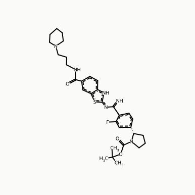 CC(C)(C)OC(=O)N1CCC[C@H]1c1ccc(C(=N)/N=c2\[nH]c3ccc(C(=O)NCCCN4CCCCC4)cc3s2)c(F)c1